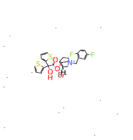 O=C(O[C@H]1C[N+]2(Cc3cc(F)ccc3F)CCC1CC2)C(O)(c1cccs1)c1cccs1.[Br-]